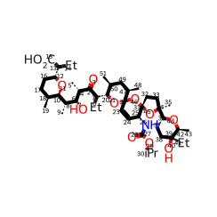 CCC(C(=O)[C@@H](C)[C@@H](O)[C@H](C)[C@@H]1O[C@@H](C(CC)C(=O)O)CC[C@@H]1C)[C@H]1O[C@]2(C=C[C@@H](NC(=O)OC(C)C)[C@]3(CC[C@@](C)([C@H]4CC[C@](O)(CC)[C@H](C)O4)O3)O2)[C@H](C)C[C@@H]1C